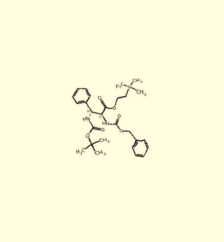 CC(C)(C)OC(=O)N[C@H](c1ccccc1)[C@H](NC(=O)OCc1ccccc1)C(=O)OCC[Si](C)(C)C